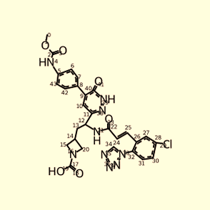 COC(=O)Nc1ccc(-c2cc(C(CC3CN(C(=O)O)C3)NC(=O)C=Cc3cc(Cl)ccc3-n3cnnn3)n[nH]c2=O)cc1